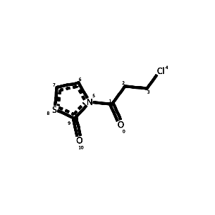 O=C(CCCl)n1ccsc1=O